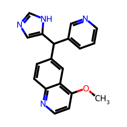 COc1ccnc2ccc(C(c3cccnc3)c3cnc[nH]3)cc12